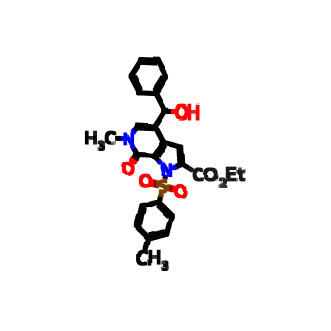 CCOC(=O)c1cc2c(C(O)c3ccccc3)cn(C)c(=O)c2n1S(=O)(=O)c1ccc(C)cc1